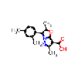 Cc1ccc(-c2c(C)oc3c(C(=O)O)c(C)nn23)c(C)c1